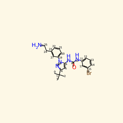 CC(C)(C)c1cc(NC(=O)Nc2cccc(Br)c2)n(-c2cccc(CCN)c2)n1